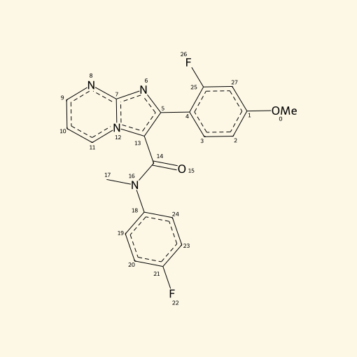 COc1ccc(-c2nc3ncccn3c2C(=O)N(C)c2ccc(F)cc2)c(F)c1